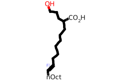 CCCCCCCC/C=C/CCCCCCC(CCCO)C(=O)O